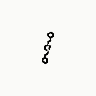 C(=CN1C=CN(C=Cc2ccccc2)C=C1)c1ccccc1